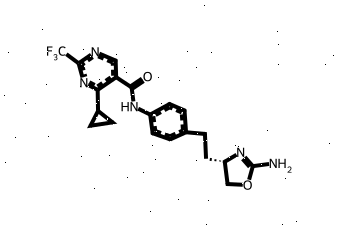 NC1=N[C@@H](CCc2ccc(NC(=O)c3cnc(C(F)(F)F)nc3C3CC3)cc2)CO1